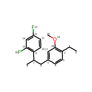 CCc1ccc(CC(C)c2ccc(F)cc2F)cc1OC